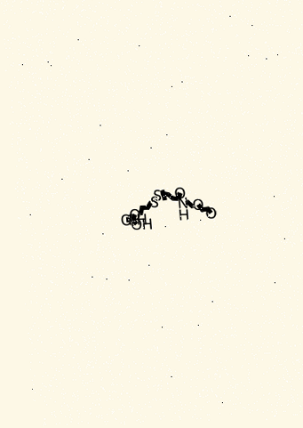 COCCOCCNC(=O)CCC(C)(C)SSCCCCO[PH](=O)O